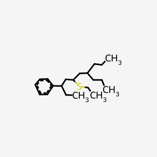 CCCC(CCC)CC(CC(CC)c1ccccc1)SCC